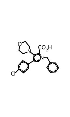 O=C(O)c1c(N2CCOCC2)c(-c2ccc(Cl)cc2)cn1Cc1ccccc1